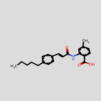 CCCCCc1ccc(C=CC(=O)Nc2cc(C)ccc2C(=O)O)cc1